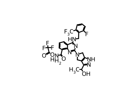 CC(O)c1n[nH]c2c1CN(c1nc(NCc3c(F)cccc3C(F)(F)F)c3cccc(C(N)=O)c3n1)C2.O=C(O)C(F)(F)F